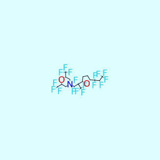 FC(C(F)(F)F)C(F)(F)C1CCC(C(F)(C(F)N2CC(C(F)(F)F)OC(C(F)(F)F)C2)C(F)(F)F)O1